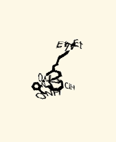 CCN(CC)CCCCC1CCCN(C(=O)N2c3ccccc3C(=O)Nc3cccnc32)C1.Cl